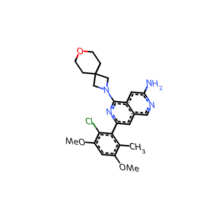 COc1cc(OC)c(Cl)c(-c2cc3cnc(N)cc3c(N3CC4(CCOCC4)C3)n2)c1C